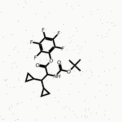 CC(C)(C)OC(=O)NC(C(=O)Oc1c(F)c(F)c(F)c(F)c1F)C(C1CC1)C1CC1